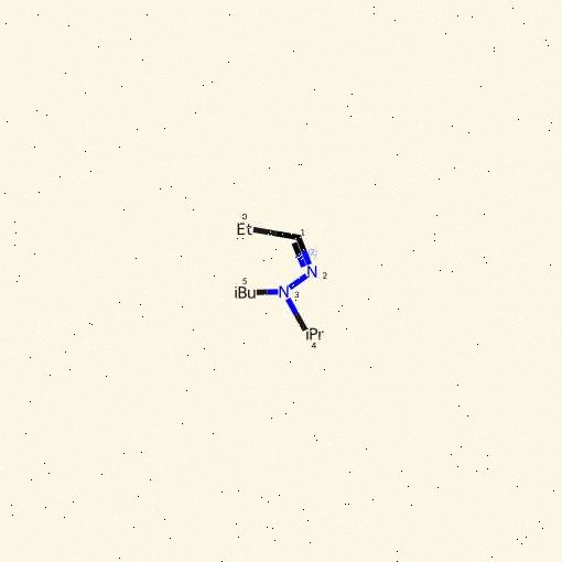 CC/C=N\N(C(C)C)C(C)CC